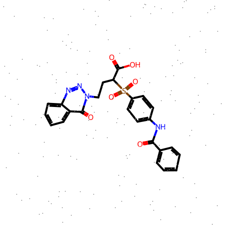 O=C(Nc1ccc(S(=O)(=O)C(CCn2nnc3ccccc3c2=O)C(=O)O)cc1)c1ccccc1